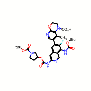 Cc1c(-c2cc3cc(NC(=O)OC4CCN(C(=O)OC(C)(C)C)C4)ncc3c(NC(=O)OC(C)(C)C)c2F)cnc2c1N(C(=O)O)CCO2